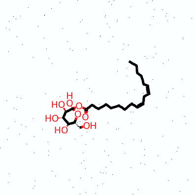 CCCCC/C=C\C/C=C\CCCCCCCC(=O)O[C@@]1(O)O[C@H](CO)[C@@H](O)[C@H](O)[C@H]1O